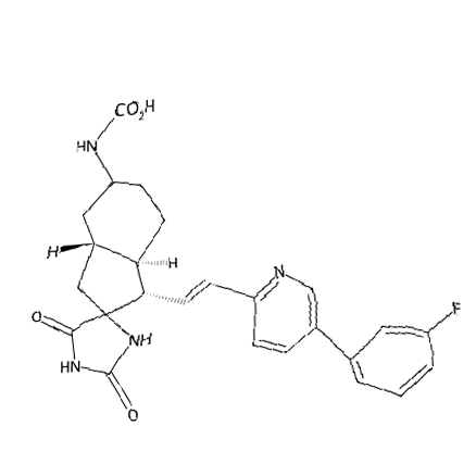 O=C(O)NC1CC[C@@H]2[C@@H](C1)CC1(NC(=O)NC1=O)[C@H]2C=Cc1ccc(-c2cccc(F)c2)cn1